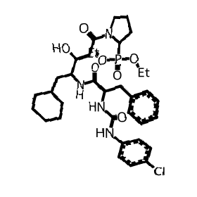 CCOP(=O)(OCC)C1CCCN1C(=O)CC(O)C(CC1CCCCC1)NC(=O)C(Cc1ccccc1)NC(=O)Nc1ccc(Cl)cc1